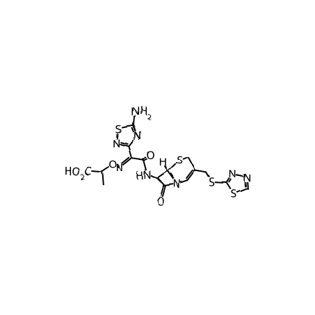 CC(ON=C(C(=O)NC1C(=O)N2C=C(CSc3nncs3)CS[C@@H]12)c1nsc(N)n1)C(=O)O